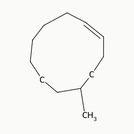 CC1CCC=CCCCCCC1